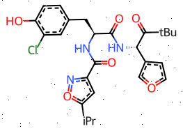 CC(C)c1cc(C(=O)N[C@@H](Cc2ccc(O)c(Cl)c2)C(=O)N[C@H](C(=O)C(C)(C)C)c2ccoc2)no1